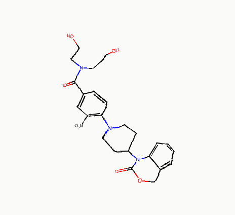 O=C(c1ccc(N2CCC(N3C(=O)OCc4ccccc43)CC2)c([N+](=O)[O-])c1)N(CCO)CCO